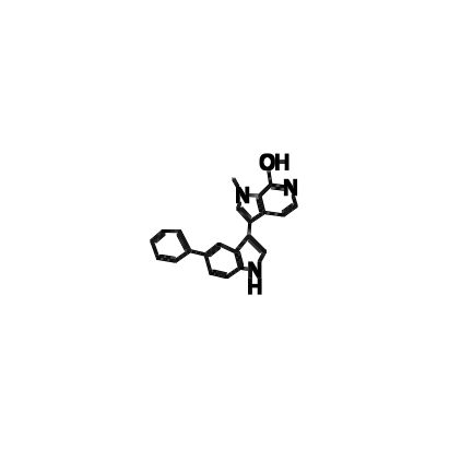 Cn1cc(-c2c[nH]c3ccc(-c4ccccc4)cc23)c2ccnc(O)c21